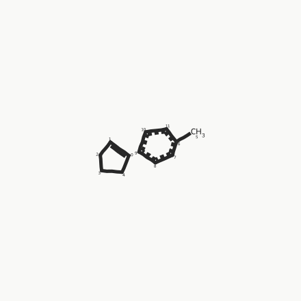 C1=CCCC1.Cc1ccccc1